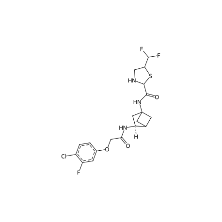 O=C(COc1ccc(Cl)c(F)c1)N[C@H]1CC2(NC(=O)C3NCC(C(F)F)S3)CC1C2